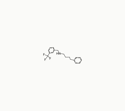 FC(F)(F)c1cccc(CNCCCCc2ccccc2)c1